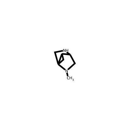 CN1CC2NCC13CC23